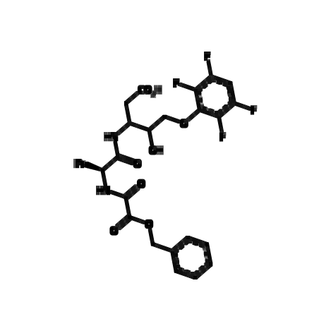 CC(C)[C@H](NC(=O)C(=O)OCc1ccccc1)C(=O)NC(CC(=O)O)C(O)COc1c(F)c(F)cc(F)c1F